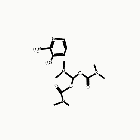 CN(C)C(=O)OC(OC(=O)N(C)C)N(C)C.Nc1ncccc1O